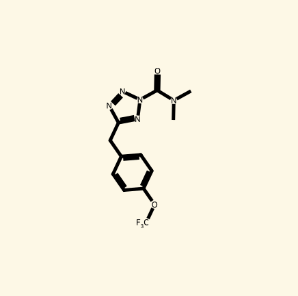 CN(C)C(=O)n1nnc(Cc2ccc(OC(F)(F)F)cc2)n1